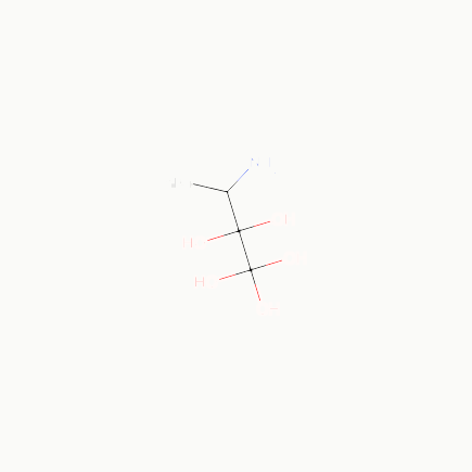 CCCCC(N)C(O)(O)C(O)(O)O